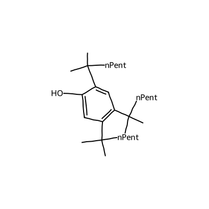 CCCCCC(C)(C)c1cc(C(C)(C)CCCCC)c(C(C)(C)CCCCC)cc1O